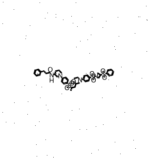 CC(CC1CN(c2ccc(S(=O)(=O)N3CC(S(=O)(=O)c4ccccc4)C3)cc2)CCO1)S(=O)(=O)c1ccc(N2CCCC(NC(=O)CCc3ccccc3)C2)cc1